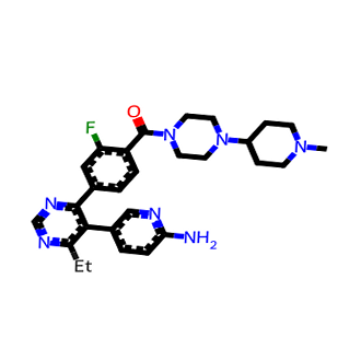 CCc1ncnc(-c2ccc(C(=O)N3CCN(C4CCN(C)CC4)CC3)c(F)c2)c1-c1ccc(N)nc1